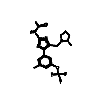 CC(=O)Nc1nc(-c2cc(C)cc(OC(F)(F)F)c2)c(CN2CCC[C@H]2C)s1